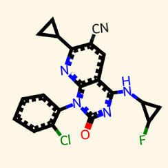 N#Cc1cc2c(NC3CC3F)nc(=O)n(-c3ccccc3Cl)c2nc1C1CC1